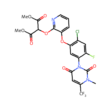 COC(=O)C(Oc1ncccc1Oc1cc(-n2c(=O)cc(C(F)(F)F)n(C)c2=O)c(F)cc1Cl)C(=O)OC